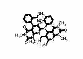 Cn1c(=O)c2c(-c3ccccc3CN)c(C#N)c(N(c3ccccc3C#N)c3c(CN)c([AsH2])nc4c3c(=O)n(C)c(=O)n4C)nc2n(C)c1=O